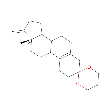 C=C1CCC2C3CCC4=C(CCC5(C4)OCCCO5)C3CC[C@]12C